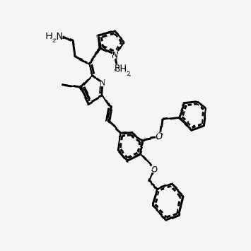 Bn1cccc1/C(CCN)=C1N=C(/C=C/c2ccc(OCc3ccccc3)c(OCc3ccccc3)c2)C=C\1C